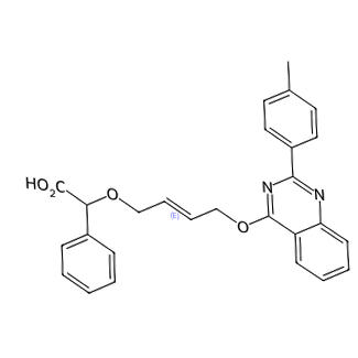 Cc1ccc(-c2nc(OC/C=C/COC(C(=O)O)c3ccccc3)c3ccccc3n2)cc1